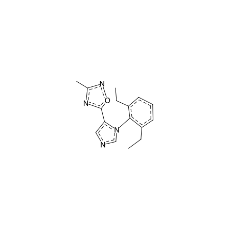 CCc1cccc(CC)c1-n1cncc1-c1nc(C)no1